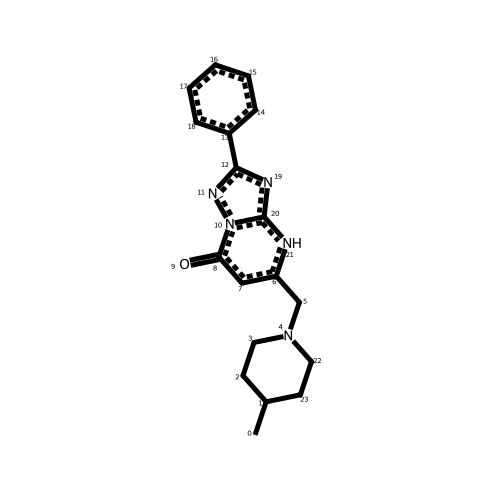 CC1CCN(Cc2cc(=O)n3nc(-c4ccccc4)nc3[nH]2)CC1